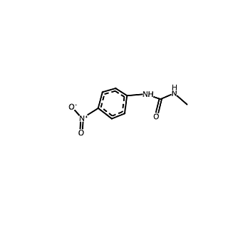 CNC(=O)Nc1ccc([N+](=O)[O-])cc1